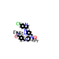 CCCC(=O)N(Cc1ccc(Nc2ccnc3cc(Cl)ccc23)cc1)C1CCN(Cc2ccc(C(=O)N(CC)CC)cc2)CC1